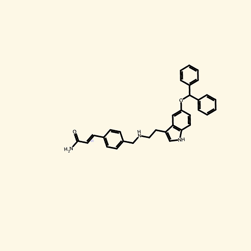 NC(=O)/C=C/c1ccc(CNCCc2c[nH]c3ccc(OC(c4ccccc4)c4ccccc4)cc23)cc1